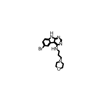 Brc1ccc2[nH]c3ncnc(NCCCN4CCOCC4)c3c2c1